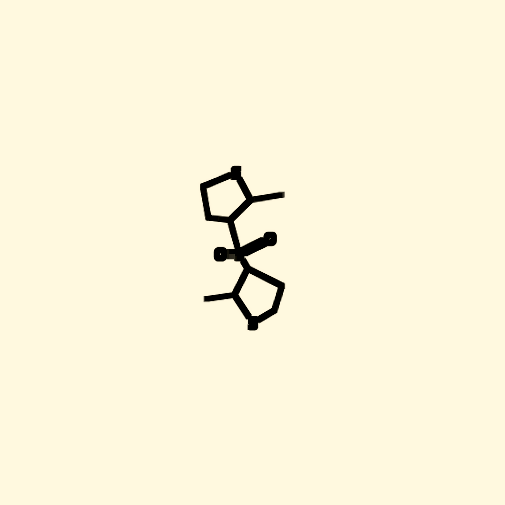 CC1SCCC1S(=O)(=O)C1CCSC1C